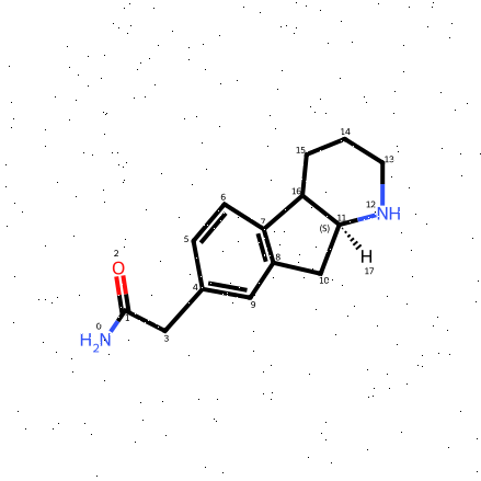 NC(=O)Cc1ccc2c(c1)C[C@@H]1NCCCC21